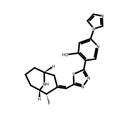 Oc1cc(-n2ccnc2)ncc1-c1nnc(/C=C2\C[C@H]3CCC[C@H](N3)[C@H]2F)s1